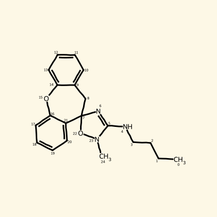 CCCCNC1=NC2(Cc3ccccc3Oc3ccccc32)ON1C